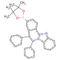 CC1(C)OB(c2ccc3c(c2)c(-c2ccccc2)c(-c2ccccc2)n2c4ccccc4nc32)OC1(C)C